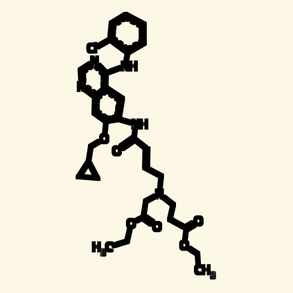 CCOC(=O)CCN(CC=CC(=O)Nc1cc2c(Nc3ccccc3Cl)ncnc2cc1OCC1CC1)CC(=O)OCC